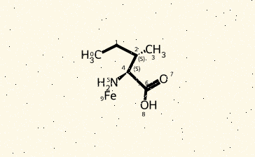 CC[C@H](C)[C@H](N)C(=O)O.[Fe]